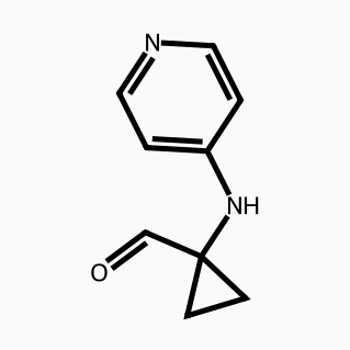 O=CC1(Nc2ccncc2)CC1